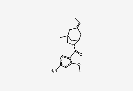 C/C=C1/CC2CC(C)(C1)CN2C(=O)c1ccc(N)cc1OC